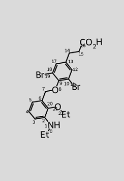 CCNc1cccc(COc2c(Br)cc(CCC(=O)O)cc2Br)c1OCC